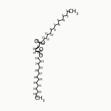 CCCCCCCCCCCCCCOC(=O)c1ccc(OCCCCCCCCCCCCCC)o1